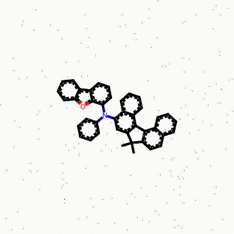 CC1(C)c2ccc3ccccc3c2-c2c1cc(N(c1ccccc1)c1cccc3c1oc1ccccc13)c1ccccc21